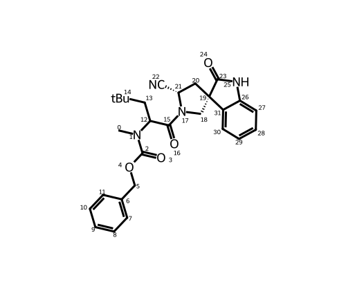 CN(C(=O)OCc1ccccc1)C(CC(C)(C)C)C(=O)N1C[C@]2(C[C@H]1C#N)C(=O)Nc1ccccc12